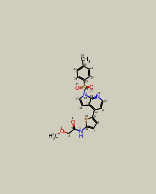 COCC(=O)Nc1ccc(-c2ccnc3c2ccn3S(=O)(=O)c2ccc(C)cc2)s1